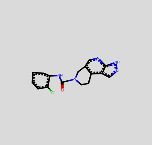 O=C(Nc1ccccc1Cl)N1CCc2c(cnc3[nH]ncc23)C1